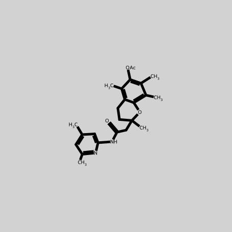 CC(=O)Oc1c(C)c(C)c2c(c1C)CCC(C)(CC(=O)Nc1cc(C)cc(C)n1)O2